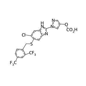 O=C(O)Oc1cnn(-c2nc3cc(SCc4ccc(C(F)(F)F)cc4C(F)(F)F)c(Cl)cc3[nH]2)c1